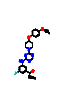 CNC(=O)c1cc(F)cc(Nc2ncnc(N3CCC(Oc4ccc(OC(F)(F)F)cc4)CC3)n2)c1